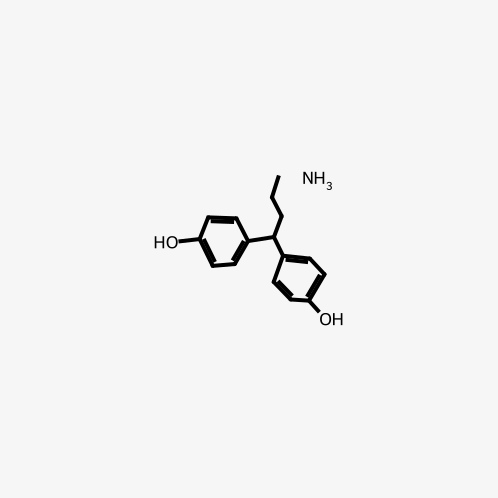 CCCC(c1ccc(O)cc1)c1ccc(O)cc1.N